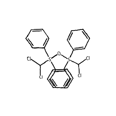 ClC(Cl)S(OS(c1ccccc1)(c1ccccc1)C(Cl)Cl)(c1ccccc1)c1ccccc1